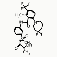 Cc1c(C(F)(F)F)cnc(N2CCCC(F)(F)CC2)c1C(=O)Nc1cccc(S(C)(=O)=NC(=O)C(C)O)c1